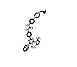 C[C@@H]1CC[C@H](C)N1c1nc(-c2ccc(NC(=O)Nc3ccc(N4CCN(CC5CC5)CC4)cc3)cc2)nc(N2CC3CCC(C2)O3)n1